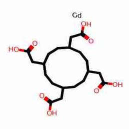 O=C(O)CC1CCC(CC(=O)O)CCC(CC(=O)O)CCC(CC(=O)O)CC1.[Gd]